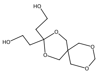 OCCC1(CCO)OCC2(COCOC2)CO1